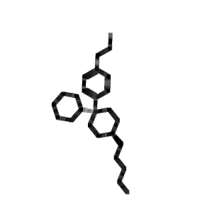 CCCCC[C@H]1CC[C@](c2ccc(CCC)cc2)(C2CCCCC2)CC1